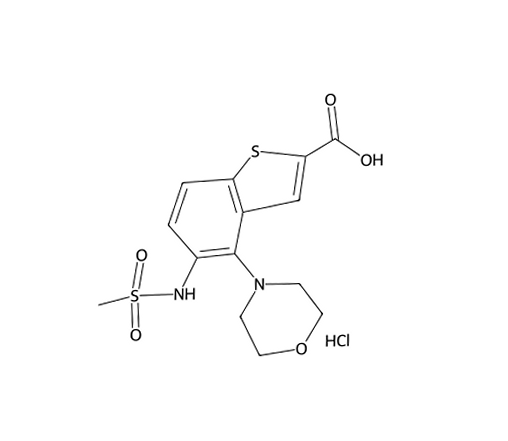 CS(=O)(=O)Nc1ccc2sc(C(=O)O)cc2c1N1CCOCC1.Cl